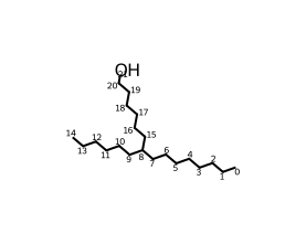 CCCCCCCCC(CCCCCC)CCCCCCO